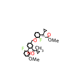 COC(=O)C[C@H](c1cccc(OCc2ccc(-c3cc(OC)ccc3F)c([C@@H](O)C3(C)CC3)c2)c1F)C1CC1